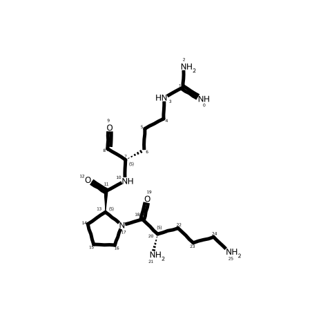 N=C(N)NCCC[C@@H]([C]=O)NC(=O)[C@@H]1CCCN1C(=O)[C@@H](N)CCCN